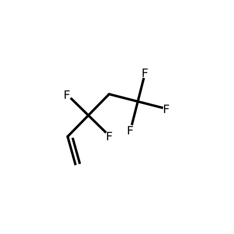 C=CC(F)(F)CC(F)(F)F